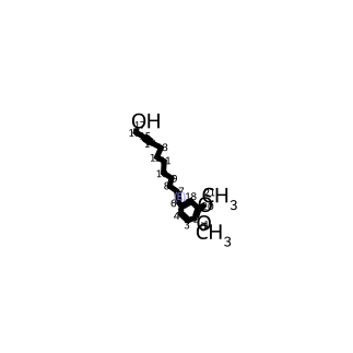 COc1ccc(/C=C/CCCCCCC#CCO)cc1OC